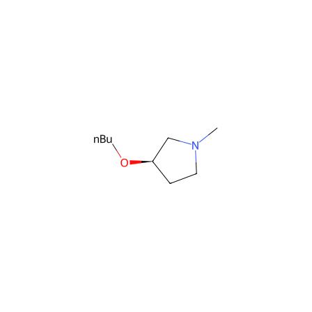 CCCCO[C@@H]1CCN(C)C1